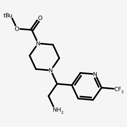 CC(C)(C)OC(=O)N1CCN(C(CN)c2ccc(C(F)(F)F)nc2)CC1